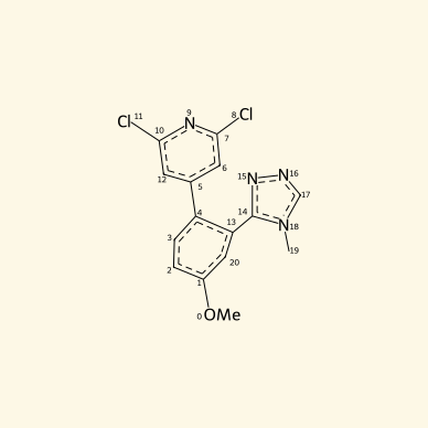 COc1ccc(-c2cc(Cl)nc(Cl)c2)c(-c2nncn2C)c1